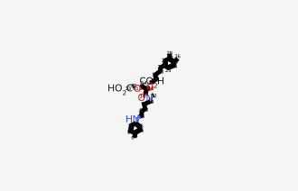 Cc1ccc(NCCCCCN(C)C(=O)C(OCCCCCc2ccc(C)c(C)c2)C(OCC(=O)O)C(=O)O)cc1